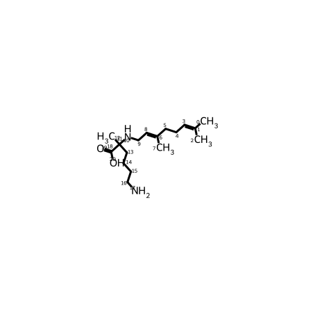 CC(C)=CCC/C(C)=C/CNC(C)(CCCCN)C(=O)O